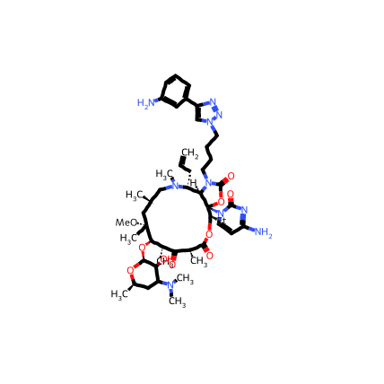 C=CC[C@@H]1[C@H]2N(CCCCn3cc(-c4cccc(N)c4)nn3)C(=O)O[C@]2(n2ccc(N)nc2=O)[C@@H](CC)OC(=O)[C@H](C)C(=O)[C@H](C)[C@@H](O[C@@H]2O[C@H](C)CC(N(C)C)C2O)[C@](C)(OC)C[C@@H](C)CN1C